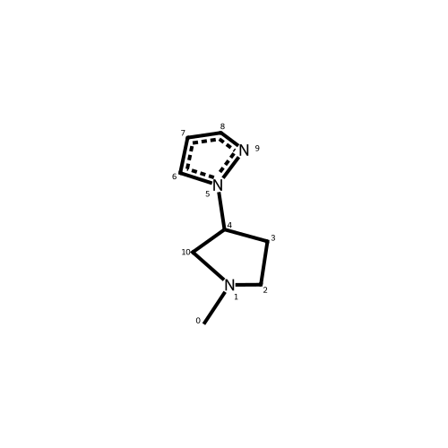 CN1CCC(n2cccn2)C1